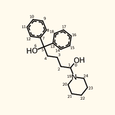 OC(CCCC(O)(c1ccccc1)c1ccccc1)N1CCCCC1